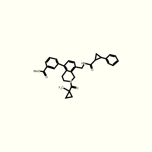 COC(=O)c1cccc(-c2ccc(CNC(=O)C3CC3c3ccccc3)c3c2CCN(C(=O)C2(C(F)(F)F)CC2)C3)c1